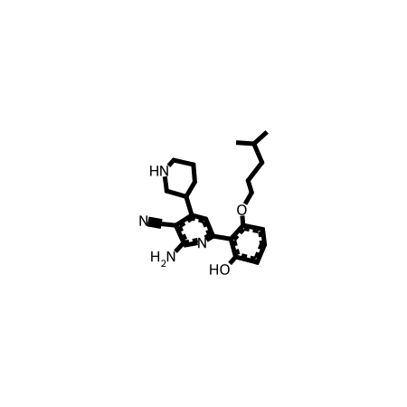 CC(C)CCCOc1cccc(O)c1-c1cc(C2CCCNC2)c(C#N)c(N)n1